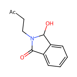 CC(=O)CCN1C(=O)c2ccccc2C1O